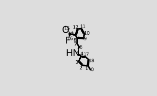 Cc1ccc(NCCc2ccccc2C(=O)F)cc1